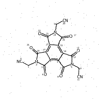 N#CCn1c(=O)c2c3c(=O)n(CC#N)c(=O)c3c3c(=O)n(CC#N)c(=O)c3c2c1=O